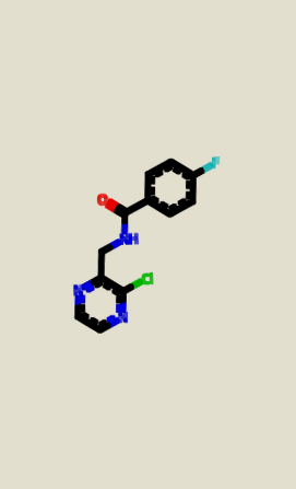 O=C(NCc1nccnc1Cl)c1ccc(F)cc1